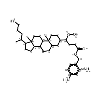 CC(C)CCCC(C)C1CCC2C3CCC4CC(C(CCC(=O)OCc5ccc(N)cc5N)OO)CCC4(C)C3CCC12C